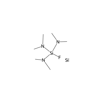 CN(C)[Si](F)(N(C)C)N(C)C.[Si]